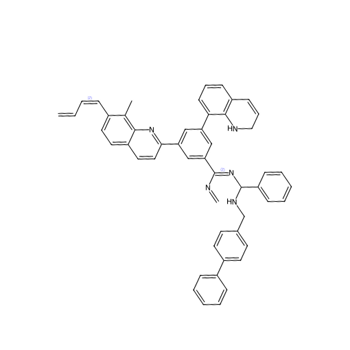 C=C/C=C\c1ccc2ccc(-c3cc(/C(N=C)=N/C(NCc4ccc(-c5ccccc5)cc4)c4ccccc4)cc(-c4cccc5c4NCC=C5)c3)nc2c1C